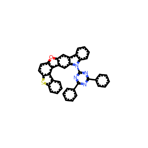 c1ccc(-c2nc(-c3ccccc3)nc(-n3c4ccccc4c4cc5oc6ccc7sc8ccccc8c7c6c5cc43)n2)cc1